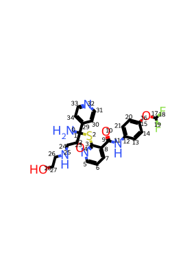 NC(Sc1ncccc1C(=O)Nc1ccc(OC(F)F)cc1)(C(=O)CNCCO)c1ccncc1